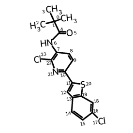 CC(C)(C)C(=O)Nc1ccc(-c2cc3ccc(Cl)cc3s2)nc1Cl